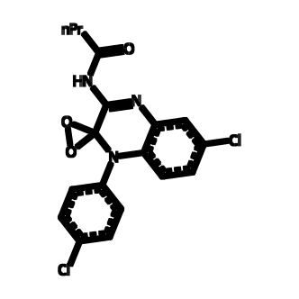 CCCC(=O)NC1=Nc2cc(Cl)ccc2N(c2ccc(Cl)cc2)C12OO2